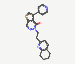 O=c1c2c(-c3ccncc3)csc2cnn1CCc1ccc2c(n1)CCCC2